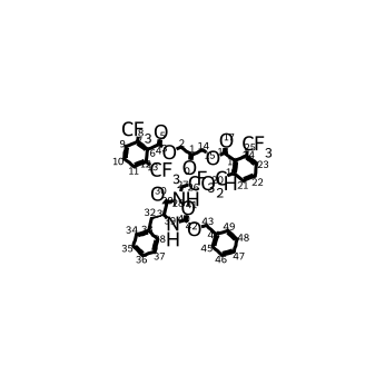 O=C(COC(=O)c1c(C(F)(F)F)cccc1C(F)(F)F)COC(=O)c1c(C(F)(F)F)cccc1C(F)(F)F.O=C(O)CNC(=O)[C@H](Cc1ccccc1)NC(=O)OCc1ccccc1